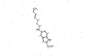 C=C/C=C/OCONc1ccc2[nH]c(C(=O)OCC)cc2c1